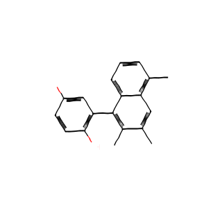 Cc1cc2c(C)cccc2c(-c2cc(O)ccc2O)c1C